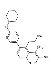 Cc1c(N)cnc2ccc(-c3ccc(ON4CCCCC4)nc3)c(CCC(C)(C)C)c12